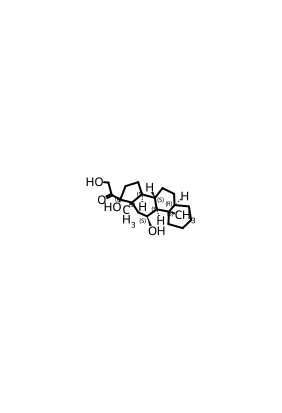 C[C@]12CCCC[C@@H]1CC[C@@H]1[C@@H]2[C@@H](O)C[C@@]2(C)[C@H]1CC[C@]2(O)C(=O)CO